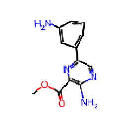 COC(=O)c1nc(-c2cccc(N)c2)cnc1N